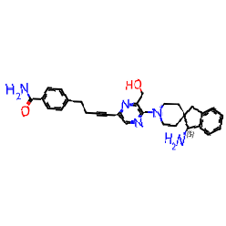 NC(=O)c1ccc(CCC#Cc2cnc(N3CCC4(CC3)Cc3ccccc3[C@H]4N)c(CO)n2)cc1